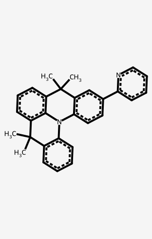 CC1(C)c2ccccc2N2c3ccc(-c4ccccn4)cc3C(C)(C)c3cccc1c32